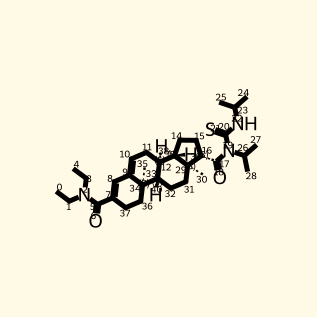 CCN(CC)C(=O)C1=CC2=CC[C@H]3[C@@H]4CC[C@H](C(=O)N(C(=S)NC(C)C)C(C)C)[C@@]4(C)CC[C@@H]3[C@@]2(C)CC1